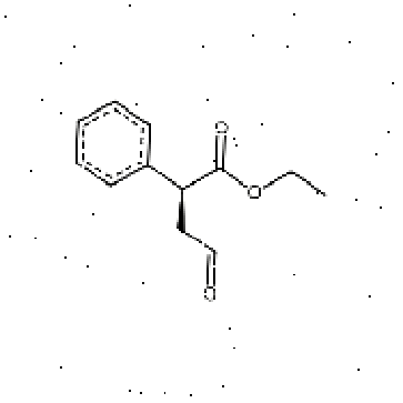 CCOC(=O)[C@@H](CC=O)c1ccccc1